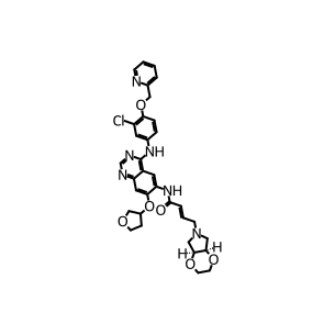 O=C(C=CCN1C[C@@H]2OCCO[C@@H]2C1)Nc1cc2c(Nc3ccc(OCc4ccccn4)c(Cl)c3)ncnc2cc1OC1CCOC1